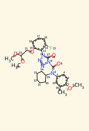 COc1ccc(N(C(=O)n2nnn(-c3c(F)cccc3OCC(OC)OC)c2=O)C2CCCCC2)cc1C